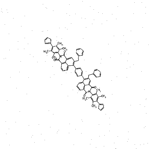 Cc1c(C)c(N2C(=O)c3cccc4c(-c5ccc(-c6c(Cc7ccccc7)cc7c8c(cccc68)C(=O)N(c6c(C)c(C)c(C8=CC=CC8)c(C)c6C)C7=O)cc5)c(Cc5ccccc5)cc(c34)C2=O)c(C)c(C)c1C1=CC=CC1